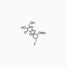 C=CCc1ccc(O[C@@H]2O[C@H](CO)[C@@H](O)C(=O)[C@H]2O)c(OC)c1